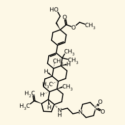 C=C(C)[C@@H]1CC[C@]2(NCCN3CCS(=O)(=O)CC3)CC[C@]3(C)[C@H](CC[C@@H]4[C@@]5(C)CC=C(C6=CC[C@@](CCO)(C(=O)OCC)CC6)C(C)(C)[C@@H]5CC[C@]43C)[C@@H]12